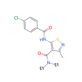 CCN(CC)C(=O)c1c(C)nsc1NC(=O)c1ccc(Cl)cc1